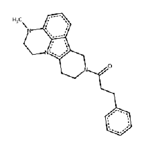 CN1CCn2c3c(c4cccc1c42)CN(C(=O)CCc1ccccc1)CC3